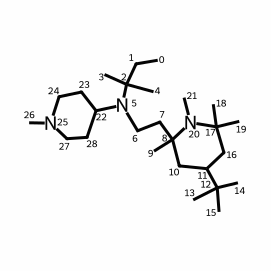 CCC(C)(C)N(CCC1(C)CC(C(C)(C)C)CC(C)(C)N1C)C1CCN(C)CC1